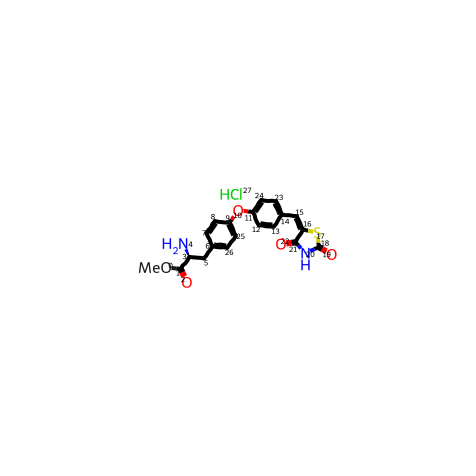 COC(=O)[C@@H](N)Cc1ccc(Oc2ccc(C=C3SC(=O)NC3=O)cc2)cc1.Cl